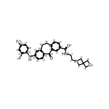 O=C(NCCN1CC2(COC2)C1)c1ccc2c(c1)C(=O)c1ccc(Nc3ccc(F)cc3F)cc1CC2